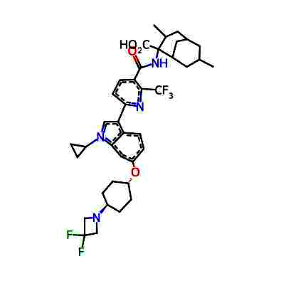 CC1CC2CC(C)C(NC(=O)c3ccc(-c4cn(C5CC5)c5cc(O[C@H]6CC[C@H](N7CC(F)(F)C7)CC6)ccc45)nc3C(F)(F)F)(C(=O)O)C(C1)C2